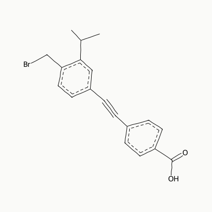 CC(C)c1cc(C#Cc2ccc(C(=O)O)cc2)ccc1CBr